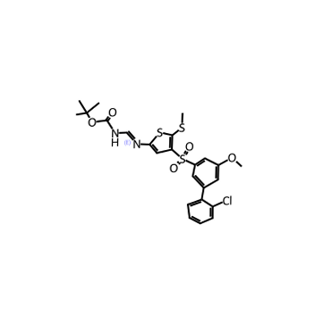 COc1cc(-c2ccccc2Cl)cc(S(=O)(=O)c2cc(/N=C/NC(=O)OC(C)(C)C)sc2SC)c1